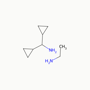 CCN.NC(C1CC1)C1CC1